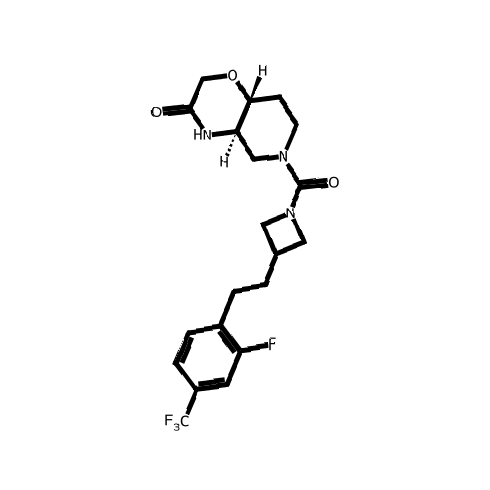 O=C1CO[C@@H]2CCN(C(=O)N3CC(CCc4ccc(C(F)(F)F)cc4F)C3)C[C@H]2N1